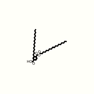 CCCCCCCCC=CCCCCCCCC(=O)OC(=O)c1ccc(C(=O)O)cc1CCCCCCCCCCCCCCCC